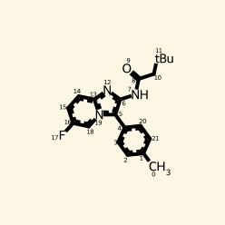 Cc1ccc(-c2c(NC(=O)CC(C)(C)C)nc3ccc(F)cn23)cc1